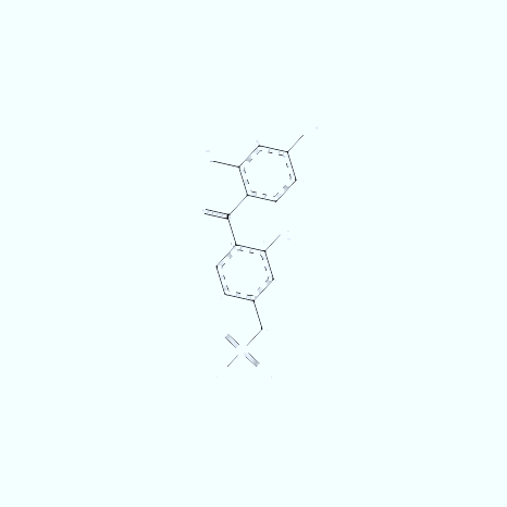 CS(=O)(=O)Cc1ccc(C(=O)c2ccc(F)cc2Cl)c(Br)c1